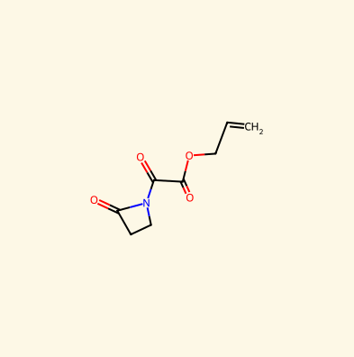 C=CCOC(=O)C(=O)N1CCC1=O